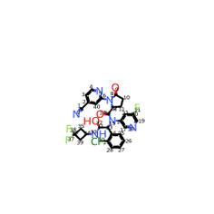 N#Cc1ccnc(N2C(=O)CC[C@H]2C(=O)N(c2cncc(F)c2)C(c2ccccc2Cl)C(O)NC2CC(F)(F)C2)c1